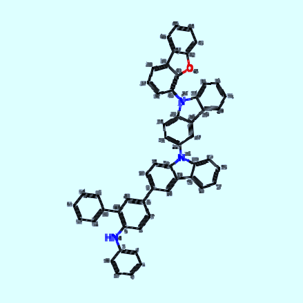 c1ccc(Nc2ccc(-c3ccc4c(c3)c3ccccc3n4-c3ccc4c(c3)c3ccccc3n4-c3cccc4c3oc3ccccc34)cc2-c2ccccc2)cc1